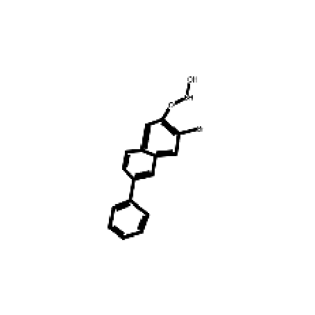 OBOc1cc2ccc(-c3ccccc3)cc2cc1Br